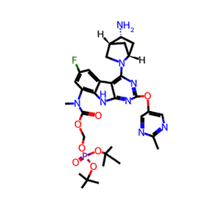 Cc1ncc(Oc2nc(N3C[C@H]4C[C@@H]3C[C@H]4N)c3c(n2)[nH]c2c(N(C)C(=O)OCOP(=O)(OC(C)(C)C)OC(C)(C)C)cc(F)cc23)cn1